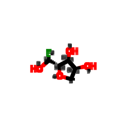 OC(F)[C@H]1O[CH][C@H](O)[C@@H]1O